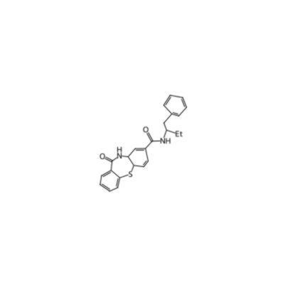 CCC(Cc1ccccc1)NC(=O)C1=CC2NC(=O)c3ccccc3SC2C=C1